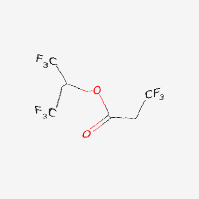 O=C(CC(F)(F)F)OC(C(F)(F)F)C(F)(F)F